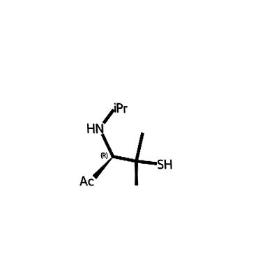 CC(=O)[C@@H](NC(C)C)C(C)(C)S